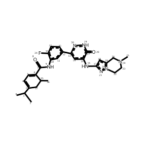 CC(C)C1=CC=C(C(=O)Nc2cc(-c3cc(Nc4cc5n(n4)CCN(C)C5)c(=O)[nH]n3)ccc2F)C(C)C1